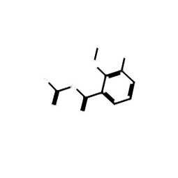 COc1c(F)cccc1C(=O)NC(N)=O